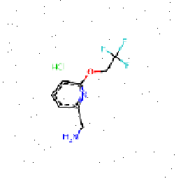 Cl.NCc1cccc(OCC(F)(F)F)n1